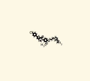 COc1cc(-n2cnc3cc(-c4ccc(Cl)cc4)sc3c2=O)ccc1OCCCN1CC[C@@H](OP)C1